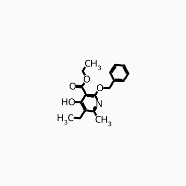 CCOC(=O)c1c(OCc2ccccc2)nc(C)c(CC)c1O